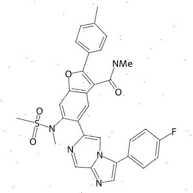 CNC(=O)c1c(-c2ccc(C)cc2)oc2cc(N(C)S(C)(=O)=O)c(-c3cn4c(-c5ccc(F)cc5)cnc4cn3)cc12